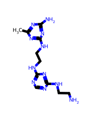 Cc1nc(N)nc(NCCNc2ncnc(NCCN)n2)n1